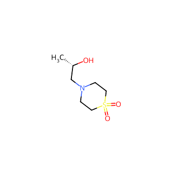 C[C@H](O)CN1CCS(=O)(=O)CC1